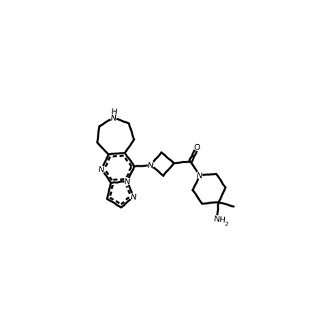 CC1(N)CCN(C(=O)C2CN(c3c4c(nc5ccnn35)CCNCC4)C2)CC1